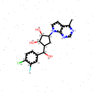 Cc1ncnc2c1ccn2C1CC(C(O)c2ccc(Cl)c(F)c2)[C@@H](O)[C@H]1O